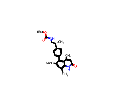 COc1cc(C)c2[nH]c(=O)cc(C)c2c1-c1ccc([C@@H](C)CNC(=O)OC(C)(C)C)cc1